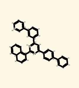 C1=CC2=C(c3nc(-c4ccc(-c5ccccc5)cc4)cc(-c4cccc(-c5cccnc5)c4)n3)C=CCC2C=C1